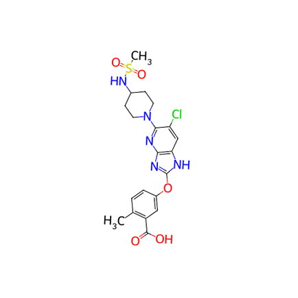 Cc1ccc(Oc2nc3nc(N4CCC(NS(C)(=O)=O)CC4)c(Cl)cc3[nH]2)cc1C(=O)O